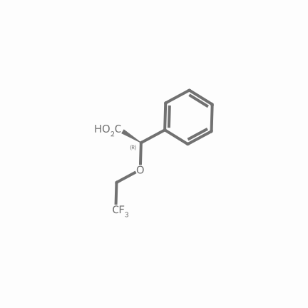 O=C(O)[C@H](OCC(F)(F)F)c1ccccc1